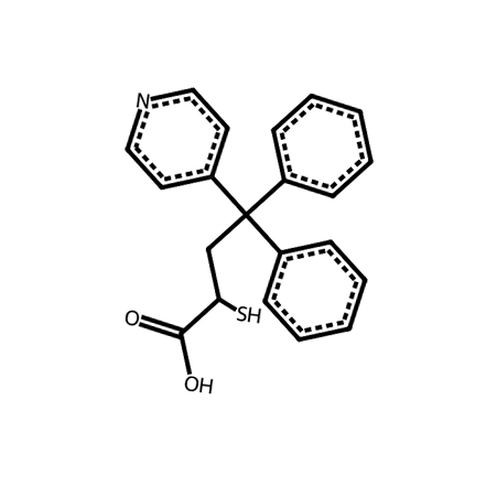 O=C(O)C(S)CC(c1ccccc1)(c1ccccc1)c1ccncc1